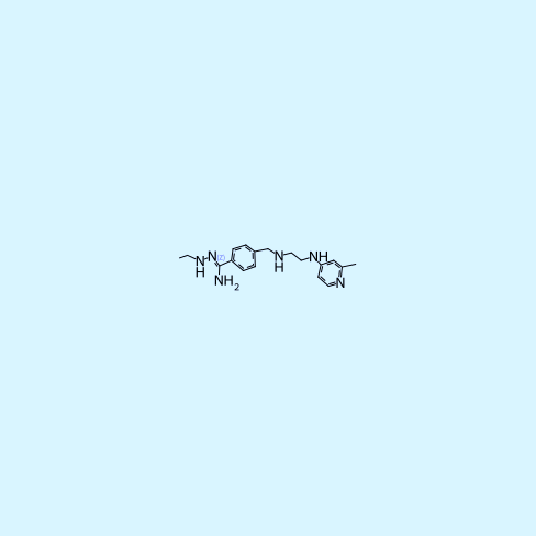 CCN/N=C(\N)c1ccc(CNCCNc2ccnc(C)c2)cc1